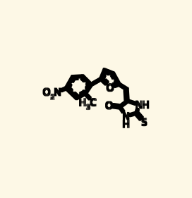 Cc1cc([N+](=O)[O-])ccc1-c1ccc(C=C2NC(=S)NC2=O)o1